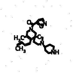 C/C=C\C=C/C1=C(C)CN(C(=O)c2ccno2)CC12CCN(C1CCNCC1)CC2